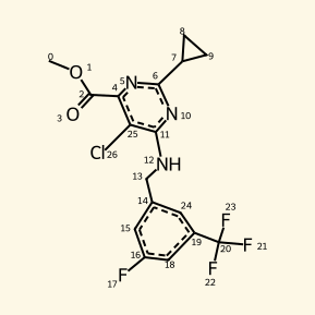 COC(=O)c1nc(C2CC2)nc(NCc2cc(F)cc(C(F)(F)F)c2)c1Cl